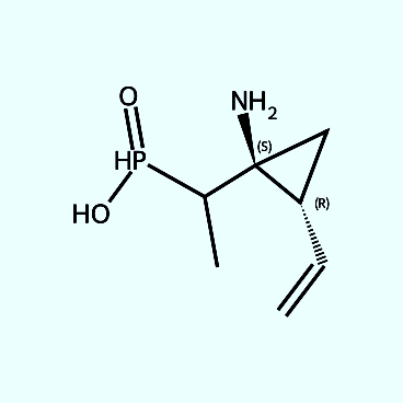 C=C[C@H]1C[C@@]1(N)C(C)[PH](=O)O